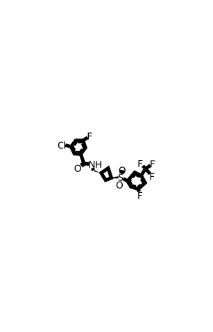 O=C(NC[C@H]1C[C@H](S(=O)(=O)c2cc(F)cc(C(F)(F)F)c2)C1)c1cc(F)cc(Cl)c1